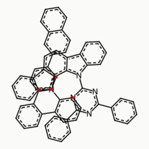 c1ccc(-c2nc(-c3ccccc3)nc(-n3c4ccccc4c4ccc5c6ccccc6n(-c6ccccc6-c6ccccc6-c6ccc(-c7ccc8ccccc8c7)cc6)c5c43)n2)cc1